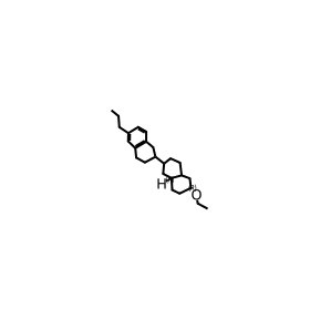 CCCc1ccc2c(c1)CCC(C1CCC3C[C@H](OCC)CC[C@@H]3C1)C2